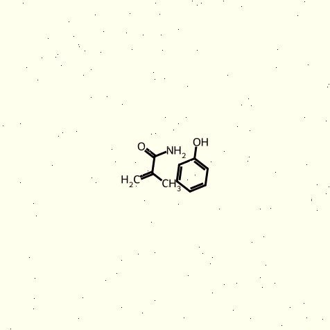 C=C(C)C(N)=O.Oc1ccccc1